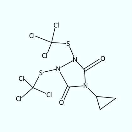 O=c1n(C2CC2)c(=O)n(SC(Cl)(Cl)Cl)n1SC(Cl)(Cl)Cl